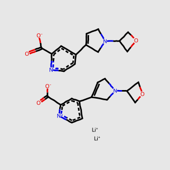 O=C([O-])c1cc(C2=CCN(C3COC3)C2)ccn1.O=C([O-])c1cc(C2=CCN(C3COC3)C2)ccn1.[Li+].[Li+]